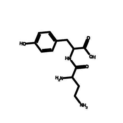 NCCC(N)C(=O)NC(Cc1ccc(O)cc1)C(=O)O